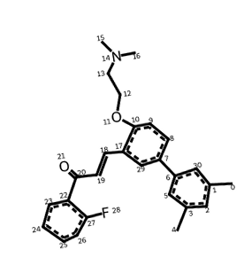 Cc1cc(C)cc(-c2ccc(OCCN(C)C)c(C=CC(=O)c3ccccc3F)c2)c1